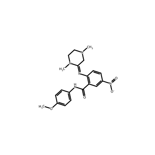 COc1ccc(NC(=O)c2cc([N+](=O)[O-])ccc2N=C2CN(C)CCN2C)cc1